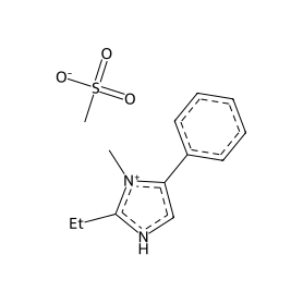 CCc1[nH]cc(-c2ccccc2)[n+]1C.CS(=O)(=O)[O-]